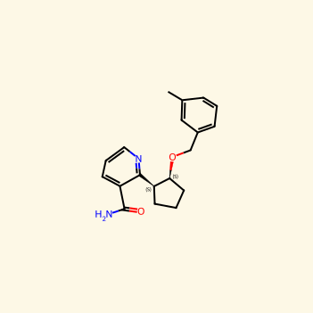 Cc1cccc(CO[C@H]2CCC[C@H]2c2ncccc2C(N)=O)c1